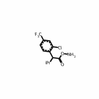 CC(C)C(C(=O)ON)c1ccc(C(F)(F)F)cc1Cl